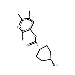 CCCC[C@H]1CC[C@H](C(=O)Oc2cc(F)c(F)nc2F)CC1